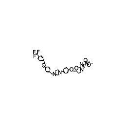 O=[N+]([O-])c1cn2c(n1)OC(COc1ccc(N3CCN(Cc4ccc(OCc5ccc(C(F)(F)F)cc5)cc4)CC3)cc1)CC2